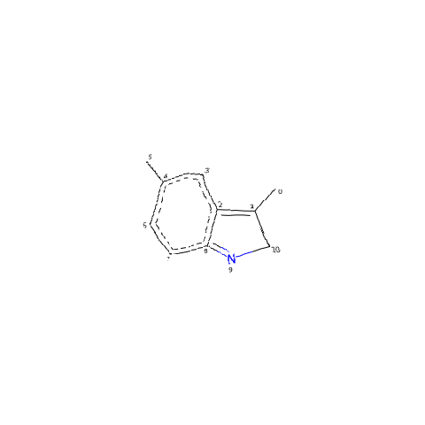 CC1=c2cc(C)ccc2=NC1